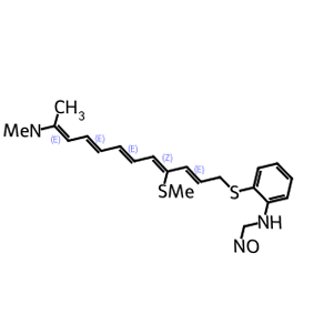 CN/C(C)=C/C=C/C=C/C=C(/C=C/CSc1ccccc1NCN=O)SC